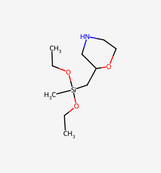 CCO[Si](C)(CC1CNCCO1)OCC